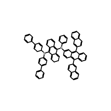 C1=CC(N(c2ccc(-c3ccccc3)cc2)c2c3c(c(N(c4ccccc4)c4ccc5c(-c6ccc7ccccc7c6)c6ccccc6c(-c6ccc7ccccc7c6)c5c4)c4ccccc24)=CCCC=3)CC=C1c1ccccc1